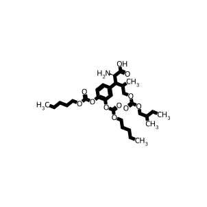 CCCCCOC(=O)Oc1ccc(C(C(C)COC(=O)OCC(C)CC)[C@H](N)C(=O)O)cc1OC(=O)OCCCCC